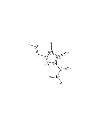 CC=Cc1nn(C(=O)N(C)C)c(=S)n1C